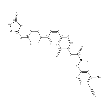 CN(Cc1ccc(C#N)c(Cl)c1)C(=O)Cn1cnc2ccc(N3CCN(CC4CCC(=O)C4)CC3)cc2c1=O